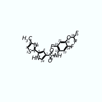 Cc1csc(-c2cc(S(=O)(=O)Nc3cc(F)c(OC(F)F)cc3F)c[nH]2)n1